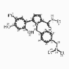 CCNC(=O)c1ccc(-c2cc(C(C)C)c(O)cc2O)n1Cc1ccc(CN(CC)CC)cc1